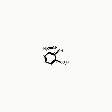 C=N.O=C(O)c1ccccc1O